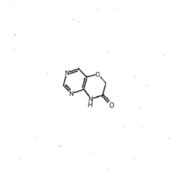 O=C1COc2[c]ncnc2N1